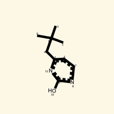 CC(C)(C)Cc1ccnc(O)n1